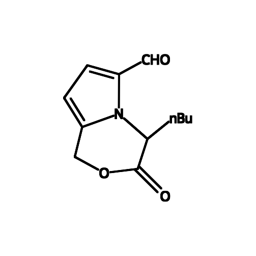 CCCCC1C(=O)OCc2ccc(C=O)n21